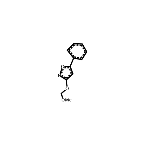 COCOc1cc(-c2ccccc2)on1